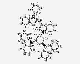 c1ccc(-n2c3ccccc3c3cc4c(cc32)c2ccccc2n4-c2cc(-n3c4ccccc4c4ccccc43)cc(-n3c4ccccc4c4ccccc43)c2)cc1